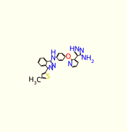 Cc1csc(-c2nnc(Nc3ccc(Oc4ncccc4-c4c[nH]nc4N)cc3)c3ccccc23)c1